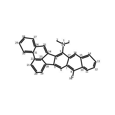 CN(C)c1c2c(cc3c(F)c4ccccc4cc13)-c1cccc3c1c-2cc1ccccc13